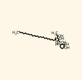 CCCCCCCCCCCCCCCCCCCCCCCCCC(=S)NC(CNC1CCCC(O)C(O)C1O)C(O)CC(O)CC